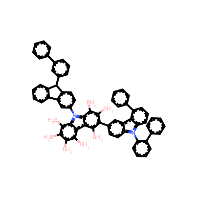 Bc1c(B)c(B)c2c(c1B)c1c(B)c(-c3ccc4c(c3)c3c(-c5ccccc5)cccc3n4-c3ccccc3-c3ccccc3)c(B)c(B)c1n2-c1ccc2c(c1)-c1ccccc1C2c1cccc(-c2ccccc2)c1